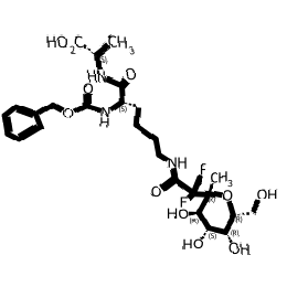 C[C@H](NC(=O)[C@H](CCCCNC(=O)C(F)(F)[C@]1(C)O[C@H](CO)[C@H](O)[C@H](O)[C@H]1O)NC(=O)OCc1ccccc1)C(=O)O